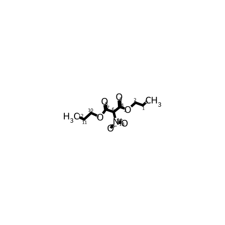 CCCOC(=O)C(C(=O)OCCC)[N+](=O)[O-]